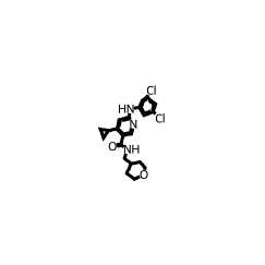 O=C(NCC1CCOCC1)c1cnc(Nc2cc(Cl)cc(Cl)c2)cc1C1CC1